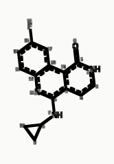 O=c1[nH]ccc2c(NC3CC3)nc3ccc(F)cc3c12